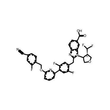 N#Cc1ccc(COc2cccc(-c3cc(F)c(Cc4nc5ccc(C(=O)O)cc5n4C4COC[C@@H]4C(F)F)cc3F)n2)c(F)c1